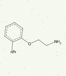 CCCc1ccccc1OCCN